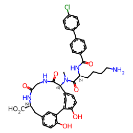 CN(C(=O)[C@H](CCCCN)NC(=O)c1ccc(-c2ccc(Cl)cc2)cc1)[C@@H]1C(=O)NCC(=O)N[C@H](C(=O)O)Cc2ccc(O)c(c2)-c2cc1ccc2O